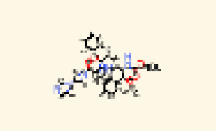 CC(C)[C@H](NC(=O)[C@H](Cc1ccccc1)C[C@H]([C@@H](NC(=O)OC(C)(C)C)C(O[SiH](C)C)c1ccccc1)C(C)(C)C)C(=O)N1CC(n2ccnc2)C1